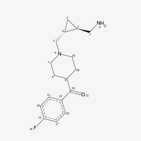 NC[C@@H]1C[C@H]1CN1CCC(C(=O)c2ccc(F)cc2)CC1